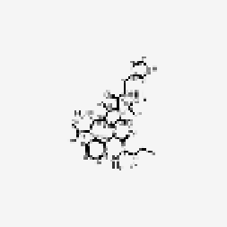 CC[C@H](C)[C@H](N)C(=O)C(NC(=O)[C@@](C(=O)[C@@H](N)Cc1c[nH]cn1)(C(C)C)C(C)[C@H](O)[C@@H](N)CC(C)C)c1ccccn1